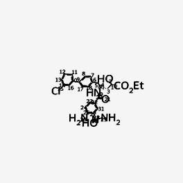 CCOC(=O)C(O)C[C@@H](Cc1ccc(-c2cccc(Cl)c2)cc1)NC(=O)c1ccc(N)c(N(N)O)c1